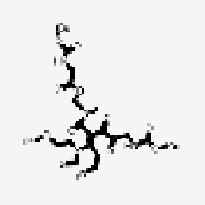 CC(C)OCCN(C=S)C(/C=C\N)=C(/C(=O)C(=O)CNC(=O)OC(C)(C)C)C(=O)N(C)COC(=O)CNC(=O)OC(C)(C)C